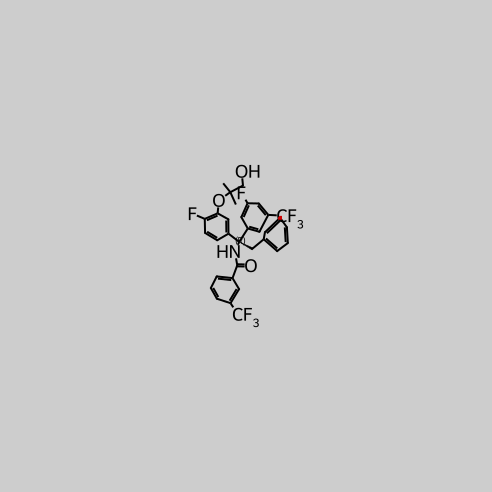 CC(C)(CO)Oc1cc([C@@](Cc2ccccc2)(NC(=O)c2cccc(C(F)(F)F)c2)c2cc(F)cc(C(F)(F)F)c2)ccc1F